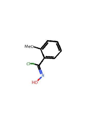 COc1ccccc1C(Cl)=NO